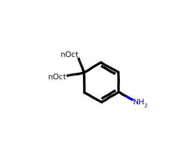 CCCCCCCCC1(CCCCCCCC)C=CC(N)=CC1